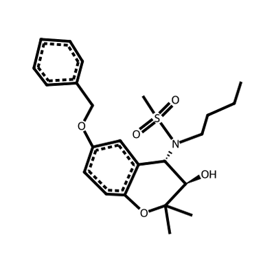 CCCCN([C@H]1c2cc(OCc3ccccc3)ccc2OC(C)(C)[C@@H]1O)S(C)(=O)=O